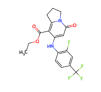 CCOC(=O)c1c(Nc2ccc(C(F)(F)F)cc2F)cc(=O)n2c1CCC2